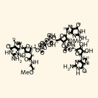 COCCNC(=O)C[C@@H]1[C@@H](COP(=O)(O)OP(=O)(O)OP(=O)(O)OCC2O[C@@H](n3cnc4c(=O)[nH]c(N)nc43)[C@H](OC)[C@@H]2OP(=O)(O)OC[C@H]2O[C@@H](n3cnc4c(=O)[nH]c(N)nc43)[C@H](O)[C@@H]2O)OC(n2c[n+](C)c3c(=O)[nH]c(N)nc32)[C@@H]1O